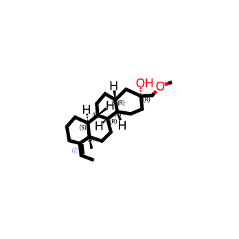 C/C=C1/CCC[C@H]2[C@@H]3CC[C@@H]4C[C@@](O)(COC)CC[C@@H]4[C@H]3CC[C@]12C